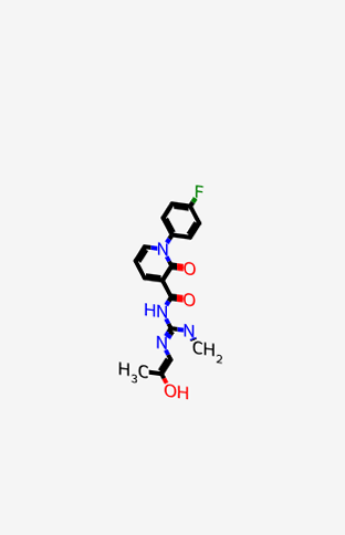 C=N/C(=N\C=C(/C)O)NC(=O)c1cccn(-c2ccc(F)cc2)c1=O